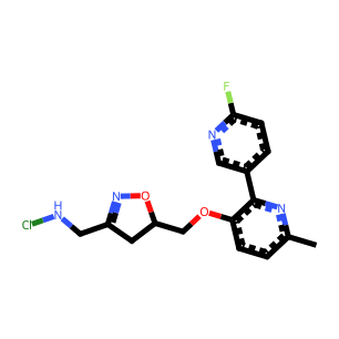 Cc1ccc(OCC2CC(CNCl)=NO2)c(-c2ccc(F)nc2)n1